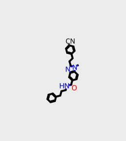 Cn1c(CCc2ccc(C#N)cc2)nc2cc(C(=O)NCCCc3ccccc3)ccc21